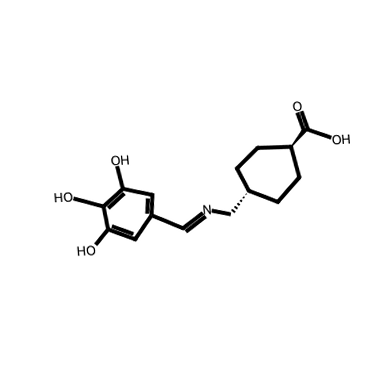 O=C(O)[C@H]1CC[C@H](CN=Cc2cc(O)c(O)c(O)c2)CC1